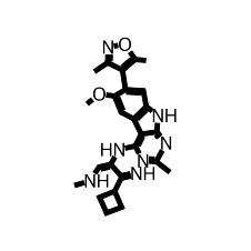 CN/C=C(/Nc1nc(C)nc2[nH]c3cc(-c4c(C)noc4C)c(OC)cc3c12)C(=N)C1CCC1